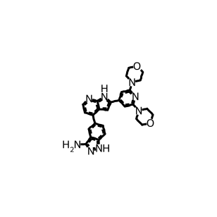 Nc1n[nH]c2ccc(-c3ccnc4[nH]c(-c5cc(N6CCOCC6)nc(N6CCOCC6)c5)cc34)cc12